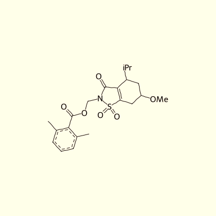 COC1CC2=C(C(=O)N(COC(=O)c3c(C)cccc3C)S2(=O)=O)C(C(C)C)C1